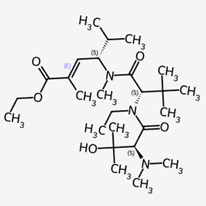 CCOC(=O)/C(C)=C/[C@H](C(C)C)N(C)C(=O)[C@@H](N(CC)C(=O)[C@@H](N(C)C)C(C)(C)O)C(C)(C)C